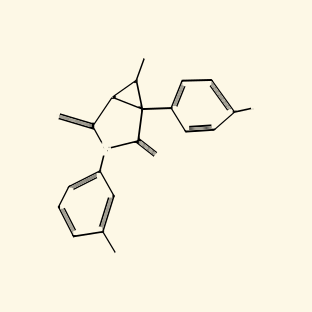 CCOC(=O)C1C2C(=O)N(c3cccc(Cl)c3)C(=O)C12c1ccc(Cl)cc1